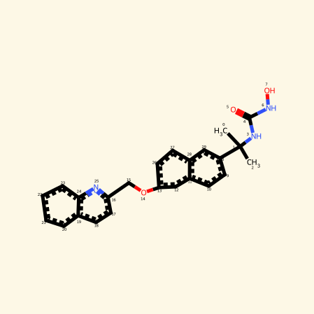 CC(C)(NC(=O)NO)c1ccc2cc(OCc3ccc4ccccc4n3)ccc2c1